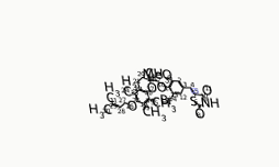 COc1cc(/C=C2\SC(=O)NC2=O)cc(Br)c1OCC1(C)CCc2c(C)c(OCC=C(C)C)c(C)c(C)c2O1